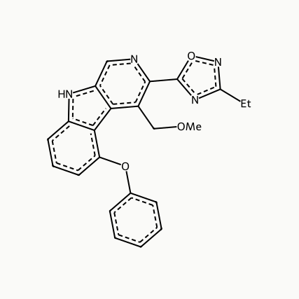 CCc1noc(-c2ncc3[nH]c4cccc(Oc5ccccc5)c4c3c2COC)n1